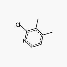 Cc1ccnc(Cl)c1C